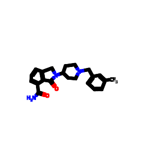 NC(=O)c1cccc2c1C(=O)N(C1CCN(Cc3cccc(C(F)(F)F)c3)CC1)C2